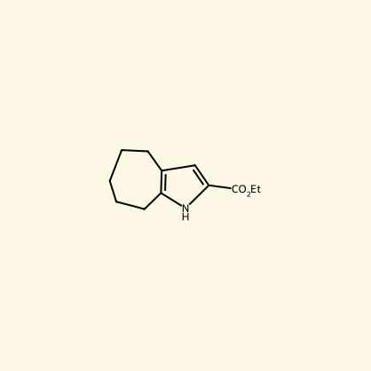 CCOC(=O)c1cc2c([nH]1)CCCCC2